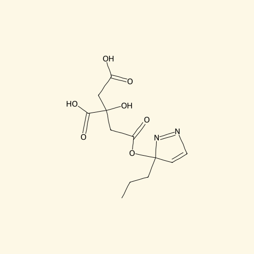 CCCC1(OC(=O)CC(O)(CC(=O)O)C(=O)O)C=CN=N1